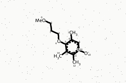 COCCCOc1c(C)c[n+]([O-])c(C)c1C